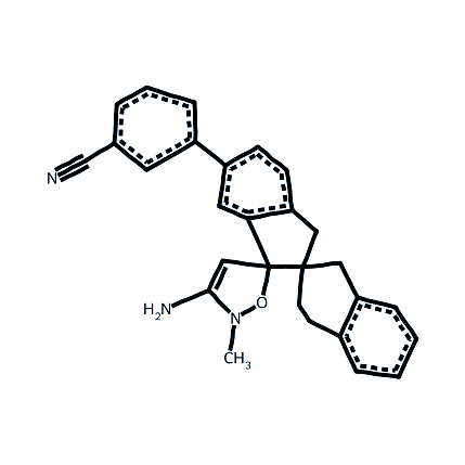 CN1OC2(C=C1N)c1cc(-c3cccc(C#N)c3)ccc1CC21CCc2ccccc2C1